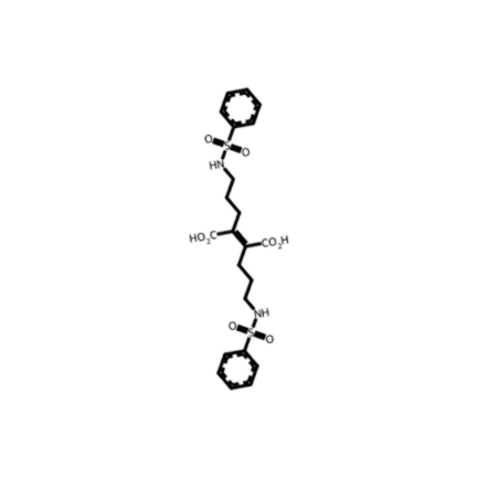 O=C(O)/C(CCCNS(=O)(=O)c1ccccc1)=C(\CCCNS(=O)(=O)c1ccccc1)C(=O)O